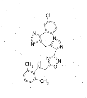 Cc1cccc(C)c1NCc1nc(-c2ncn3c2Cn2ncnc2-c2cc(Cl)ccc2-3)no1